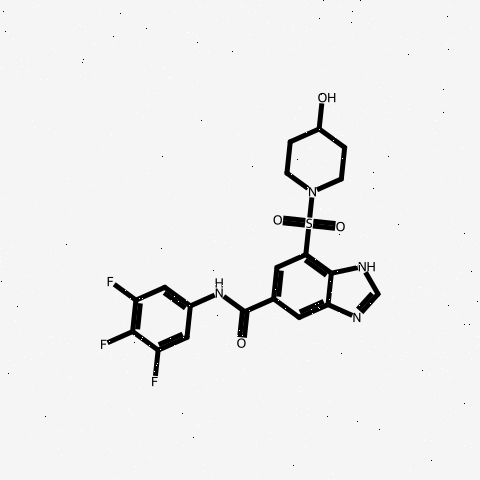 O=C(Nc1cc(F)c(F)c(F)c1)c1cc(S(=O)(=O)N2CCC(O)CC2)c2[nH]cnc2c1